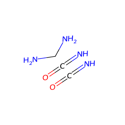 N=C=O.N=C=O.NCN